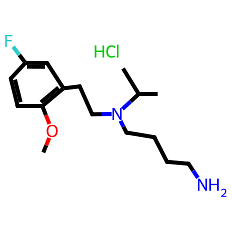 COc1ccc(F)cc1CCN(CCCCN)C(C)C.Cl